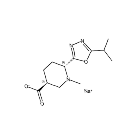 CC(C)c1nnc([C@H]2CC[C@H](C(=O)[O-])CN2C)o1.[Na+]